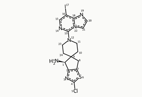 N[C@@H]1c2nc(Cl)sc2CC12CCN(c1ncc(I)c3nccn13)CC2